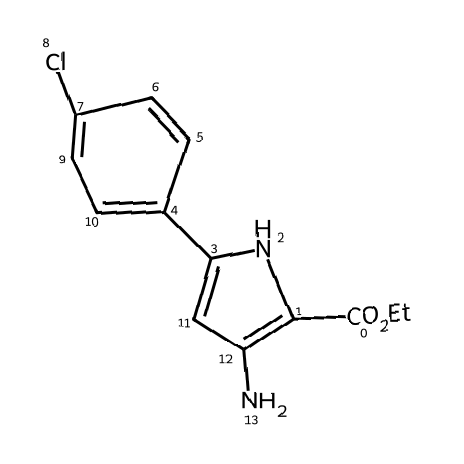 CCOC(=O)c1[nH]c(-c2ccc(Cl)cc2)cc1N